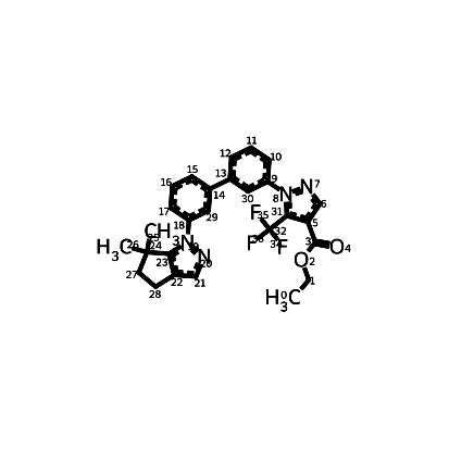 CCOC(=O)c1cnn(-c2cccc(-c3cccc(-n4ncc5c4C(C)(C)CC5)c3)c2)c1C(F)(F)F